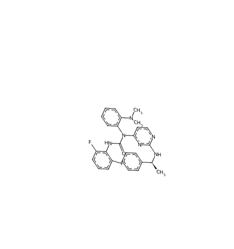 C[C@H](Nc1nccc(N(C(=O)Nc2c(F)cccc2F)c2ccccc2N(C)C)n1)c1ccccc1